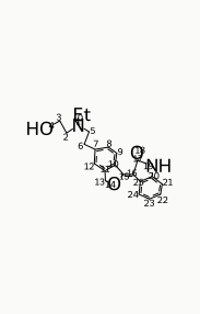 CCN(CCO)CCc1ccc2c(c1)COC2=C1C(=O)Nc2ccccc21